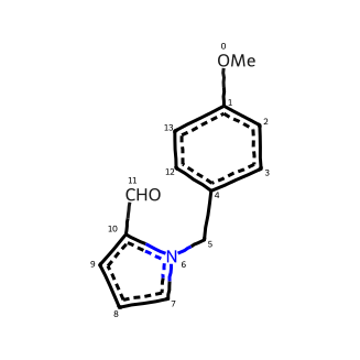 COc1ccc(Cn2cccc2C=O)cc1